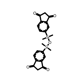 C[Si](C)(O[Si](C)(C)c1ccc2c(c1)C(=O)CC2=O)c1ccc2c(c1)C(=O)CC2=O